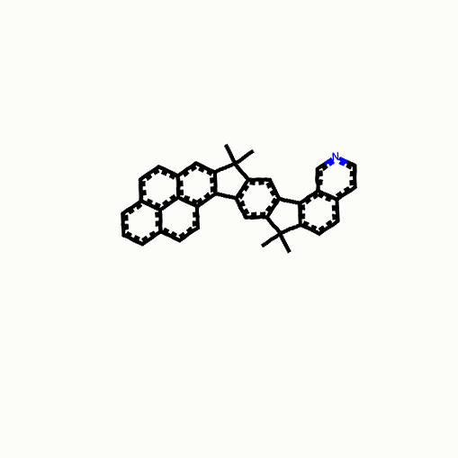 CC1(C)c2cc3c(cc2-c2c1ccc1ccncc21)C(C)(C)c1cc2ccc4cccc5ccc(c1-3)c2c45